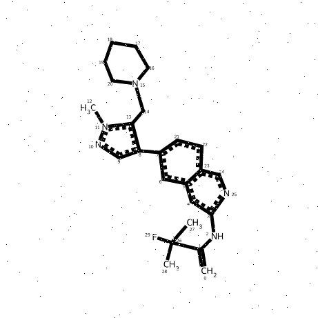 C=C(Nc1cc2cc(-c3cnn(C)c3CN3CCCCC3)ccc2cn1)C(C)(C)F